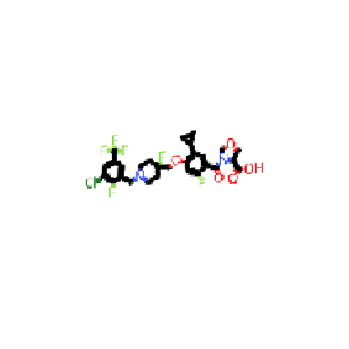 O=C(O)C1COCN1C(=O)c1cc(C2CC2)c(OCC2(F)CCN(Cc3cc(C(F)(F)F)cc(Cl)c3F)CC2)cc1F